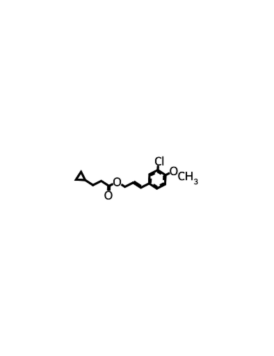 COc1ccc(C=CCOC(=O)CCC2CC2)cc1Cl